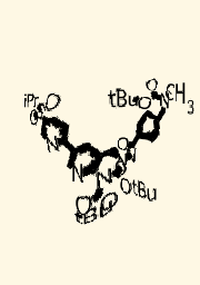 CC(C)S(=O)(=O)c1ccc(-c2cnc(N(C(=O)OC(C)(C)C)C(=O)OC(C)(C)C)c(-c3nnc(-c4ccc(CN(C)C(=O)OC(C)(C)C)cc4)o3)c2)nc1